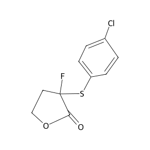 O=C1OCCC1(F)Sc1ccc(Cl)cc1